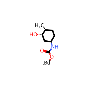 C[C@@H]1CC[C@@H](NC(=O)OC(C)(C)C)C[C@@H]1O